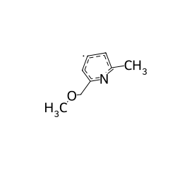 COCc1c[c]cc(C)n1